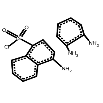 Nc1ccc(S(=O)(=O)Cl)c2ccccc12.Nc1ccccc1N